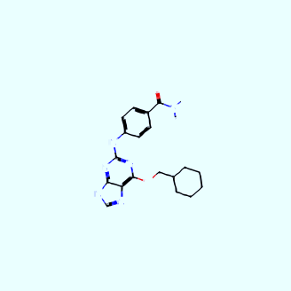 CN(C)C(=O)c1ccc(Nc2nc(OCC3CCCCC3)c3nc[nH]c3n2)cc1